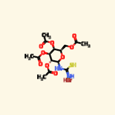 Br.CC(=O)OC[C@H]1O[C@@H](NC(=N)S)[C@H](OC(C)=O)[C@@H](OC(C)=O)[C@H]1OC(C)=O